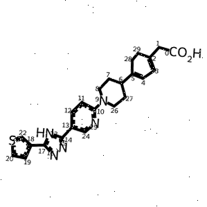 O=C(O)CC1=CC=C(C2CCN(c3ccc(-c4nnc(-c5ccsc5)[nH]4)cn3)CC2)CC1